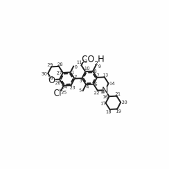 Cc1c(-c2c(C)c3c(c(C)c2CC(=O)O)CCN(C2CCCCC2)C3)cc(Cl)c2c1CCCO2